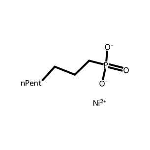 CCCCCCCCP(=O)([O-])[O-].[Ni+2]